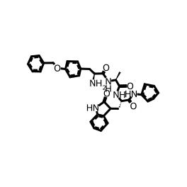 C[C@H](NC(=O)[C@@H](N)Cc1ccc(OCc2ccccc2)cc1)C(=O)N[C@@H](CC1C(=O)Nc2ccccc21)C(=O)Nc1ccccc1